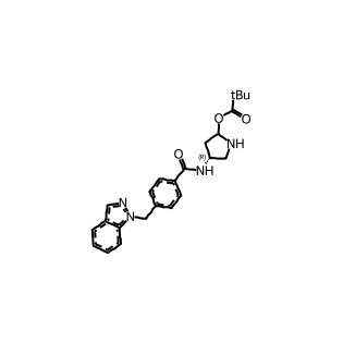 CC(C)(C)C(=O)OC1C[C@@H](NC(=O)c2ccc(Cn3ncc4ccccc43)cc2)CN1